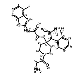 Cc1cccc2sc(NC(=O)OCC3(C(C(N)=O)c4ccccc4Cl)CCN(C(=O)CN)CC3)nc12